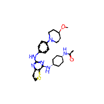 COC1CCN(c2ccc(Nc3nc(N[C@H]4CC[C@@H](NC(C)=O)CC4)c4sccc4n3)cc2)CC1